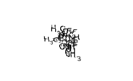 COC(=O)C1=C(C(F)F)NC(C(F)(F)F)C(C(=O)OC)=C1CC(C)C